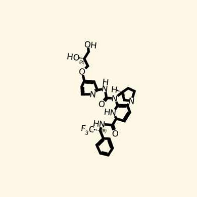 O=C(N[C@H](c1ccccc1)C(F)(F)F)C1C=CC2=C(N1)N(C(=O)Nc1cc(OC[C@H](O)CO)ccn1)[C@H]1CCN2C1